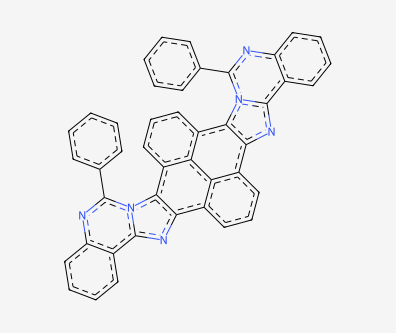 c1ccc(-c2nc3ccccc3c3nc4c5cccc6c7nc8c9ccccc9nc(-c9ccccc9)n8c7c7cccc(c7c56)c4n23)cc1